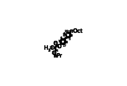 CCCCCCCCc1ccc(-c2ccc(OC(=O)C(C)COCCC)cc2)nc1